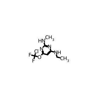 CCNc1cc(OC(F)(F)Cl)nc(NC)n1